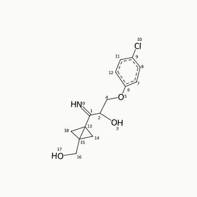 N=C(C(O)COc1ccc(Cl)cc1)C12CC1(CO)C2